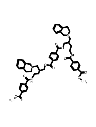 COC(=O)c1ccc(C(=O)NCCC(COC(=O)c2ccc(C(=O)OCC(CCNC(=O)c3ccc(C(=O)OC)cc3)CN3CCc4ccccc4C3)cc2)CN2CCc3ccccc3C2)cc1